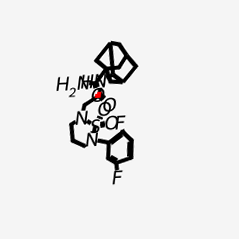 NC(=O)C12CC3CC(C1)C(NC(=O)CN1CCCN(c4cc(F)ccc4F)S1(=O)=O)C(C3)C2